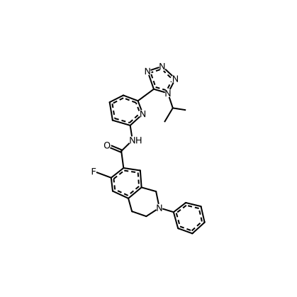 CC(C)n1nnnc1-c1cccc(NC(=O)c2cc3c(cc2F)CCN(c2ccccc2)C3)n1